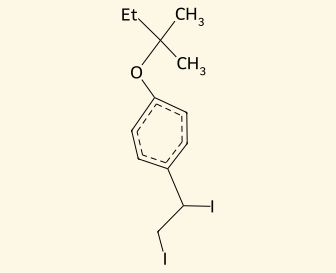 CCC(C)(C)Oc1ccc(C(I)CI)cc1